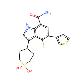 NC(=O)c1cc(-c2ccsc2)c(F)c2c(C3CCS(O)(O)CC3)c[nH]c12